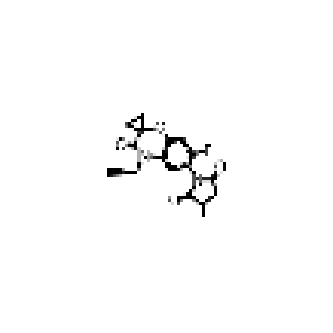 C#CCN1C(=O)C2(CC2)Oc2cc(F)c(N3C(=O)CC(C)C3=O)cc21